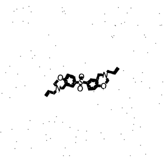 C=CCN1COc2ccc(S(=O)(=O)c3ccc4c(c3)CN(CC=C)CO4)cc2C1